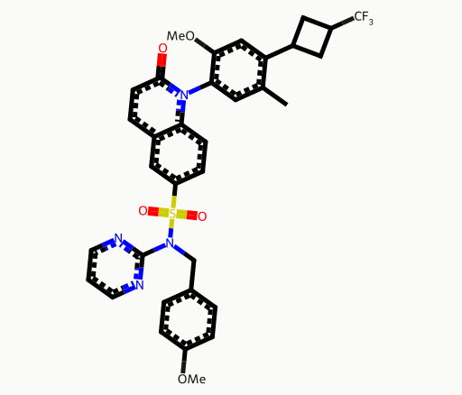 COc1ccc(CN(c2ncccn2)S(=O)(=O)c2ccc3c(ccc(=O)n3-c3cc(C)c(C4CC(C(F)(F)F)C4)cc3OC)c2)cc1